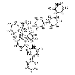 Cc1cc(-c2ccccc2)nc(-c2ccc3c(c2)C2(c4ccccc4S3)c3ccccc3-c3c(-c4ccc(-c5cccc(-c6cccnc6C)c5)cc4)cccc32)n1